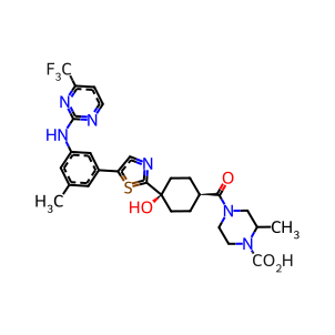 Cc1cc(Nc2nccc(C(F)(F)F)n2)cc(-c2cnc([C@]3(O)CC[C@@H](C(=O)N4CCN(C(=O)O)C(C)C4)CC3)s2)c1